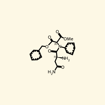 COC(=O)[C@H](C(=O)OCc1ccccc1)N(C(=O)[C@@H](N)CC(N)=O)c1ccccc1